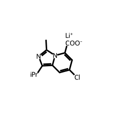 Cc1nc(C(C)C)c2cc(Cl)cc(C(=O)[O-])n12.[Li+]